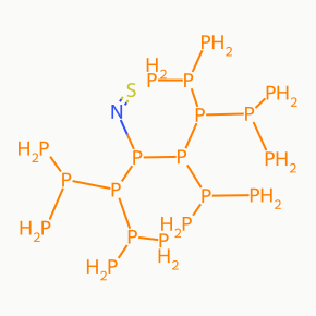 PP(P)P(P(P)P)P(N=S)P(P(P)P)P(P(P)P)P(P)P